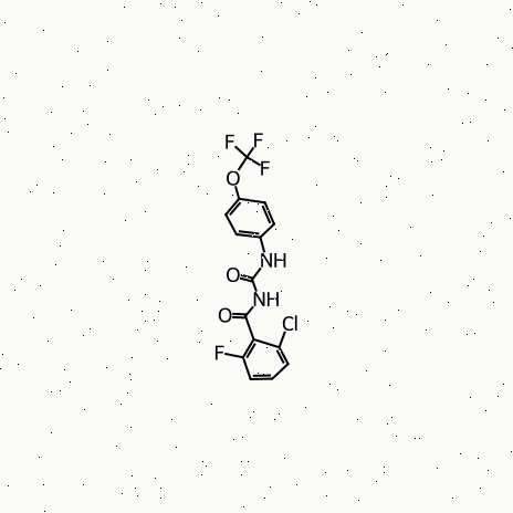 O=C(NC(=O)c1c(F)cccc1Cl)Nc1ccc(OC(F)(F)F)cc1